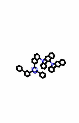 c1ccc(-c2cccc(-c3nc(-c4ccccc4)nc(-c4ccc5cccc(-n6c7ccccc7c7c(-n8c9ccccc9c9cc%10ccccc%10cc98)c8ccccc8cc76)c5c4)n3)c2)cc1